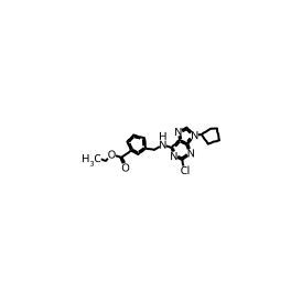 CCOC(=O)c1cccc(CNc2nc(Cl)nc3c2ncn3C2CCCC2)c1